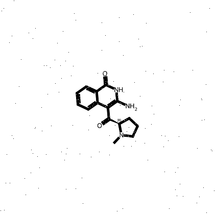 CN1CCC[C@@H]1C(=O)c1c(N)[nH]c(=O)c2ccccc12